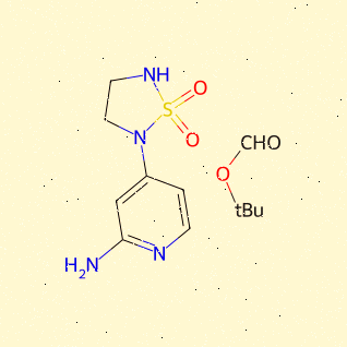 CC(C)(C)OC=O.Nc1cc(N2CCNS2(=O)=O)ccn1